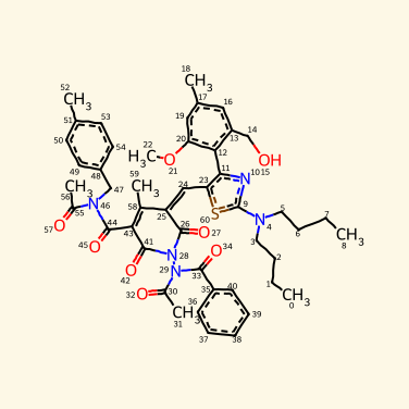 CCCCN(CCCC)c1nc(-c2c(CO)cc(C)cc2OC)c(/C=C2\C(=O)N(N(C(C)=O)C(=O)c3ccccc3)C(=O)C(C(=O)N(Cc3ccc(C)cc3)C(C)=O)=C2C)s1